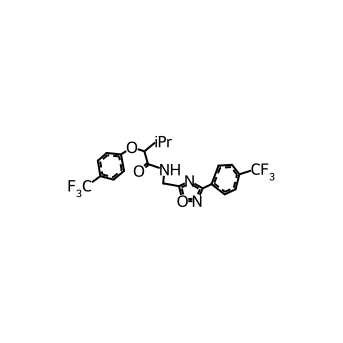 CC(C)C(Oc1ccc(C(F)(F)F)cc1)C(=O)NCc1nc(-c2ccc(C(F)(F)F)cc2)no1